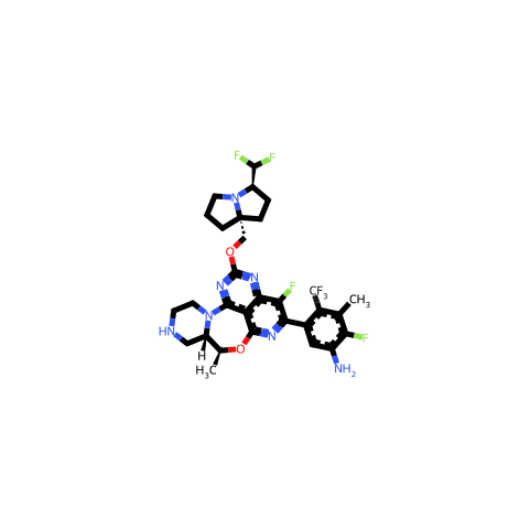 Cc1c(F)c(N)cc(-c2nc3c4c(nc(OC[C@]56CCCN5[C@@H](C(F)F)CC6)nc4c2F)N2CCNC[C@H]2[C@H](C)O3)c1C(F)(F)F